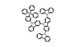 c1ccc([Si](c2ccccc2)(c2ccccc2)c2cccc(-n3c4ccccc4c4cc(-n5c6cc(-n7c8ccccc8c8ccccc87)ccc6c6ccc(-n7c8ccccc8c8ccccc87)cc65)ccc43)c2)cc1